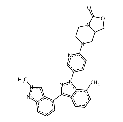 Cc1cccc2c(-c3cccc4nn(C)cc34)nn(-c3ccc(N4CCN5C(=O)OCC5C4)nc3)c12